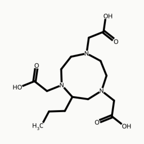 CCCC1CN(CC(=O)O)CCN(CC(=O)O)CCN1CC(=O)O